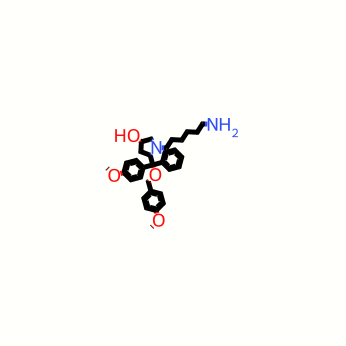 COc1ccc(COC(c2ccccc2)(c2ccc(OC)cc2)C2CC(O)CN2CCCCCCN)cc1